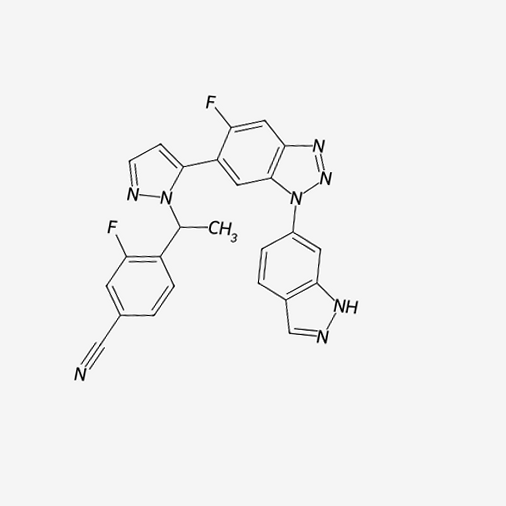 CC(c1ccc(C#N)cc1F)n1nccc1-c1cc2c(cc1F)nnn2-c1ccc2cn[nH]c2c1